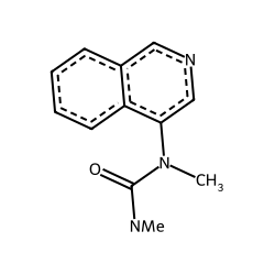 CNC(=O)N(C)c1cncc2ccccc12